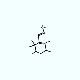 CC(=O)/C=C/C1=C(C)C(C)CC(C)C1(C)C